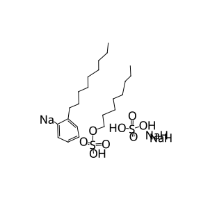 CCCCCCCCCc1cccc[c]1[Na].CCCCCCCCOS(=O)(=O)O.O=S(=O)(O)O.[NaH].[NaH]